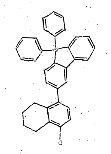 Clc1ccc(-c2ccc3c(c2)-c2ccccc2[Si]3(c2ccccc2)c2ccccc2)c2c1CCCC2